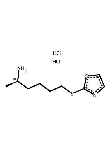 C[C@@H](N)CCCCSc1nccs1.Cl.Cl